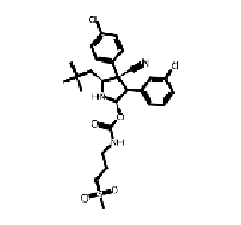 CC(C)(C)C[C@@H]1N[C@H](OC(=O)NCCCS(C)(=O)=O)[C@H](c2cccc(Cl)c2)[C@@]1(C#N)c1ccc(Cl)cc1